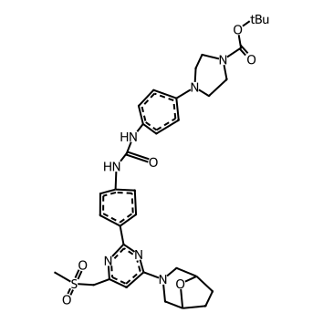 CC(C)(C)OC(=O)N1CCN(c2ccc(NC(=O)Nc3ccc(-c4nc(CS(C)(=O)=O)cc(N5CC6CCC(C5)O6)n4)cc3)cc2)CC1